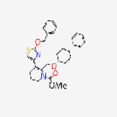 COC(=O)N1CCCC(c2csc(OCc3ccccc3)n2)=C1CO[C@H]1CC[C@@H](c2ccccc2)CC1